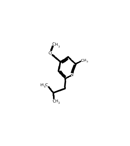 COc1cc(C)nc(CC(C)C)c1